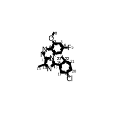 COc1cc(F)cc2c1nnc1c(C)nc(-c3cc(Cl)ccc3C)n12